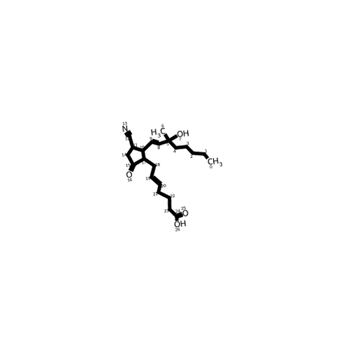 CCCCCC(C)(O)C=CC1C(C#N)CC(=O)C1CC=CCCCC(=O)O